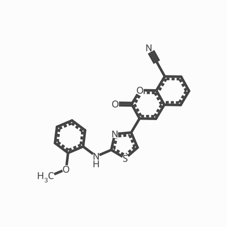 COc1ccccc1Nc1nc(-c2cc3cccc(C#N)c3oc2=O)cs1